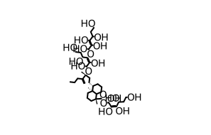 C=C(CCC)[C@@](C)(CC[C@@H]1CCCC2[C@](C)(C(=O)OC(O)/C(O)=C(/O)C(O)CCO)CCC[C@]21C)OC(O)/C(O)=C(/OC(O)/C(O)=C(\O)C(O)CCO)C(O)CCO